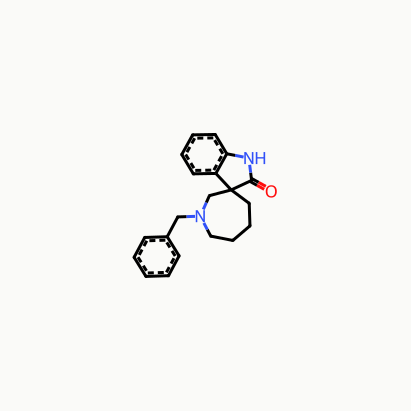 O=C1Nc2ccccc2C12CCCCN(Cc1ccccc1)C2